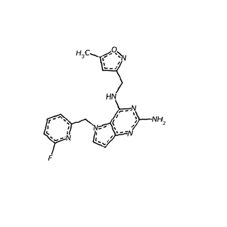 Cc1cc(CNc2nc(N)nc3ccn(Cc4cccc(F)n4)c23)no1